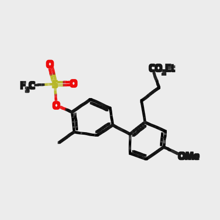 CCOC(=O)CCc1cc(OC)ccc1-c1ccc(OS(=O)(=O)C(F)(F)F)c(C)c1